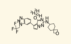 [2H]C([2H])([2H])Oc1nc(NC2CCC3(CC2)COC3)nn2ccc(-c3ccc4nnn(CC(F)(F)F)c4c3)c12